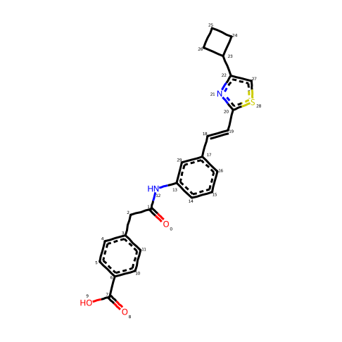 O=C(Cc1ccc(C(=O)O)cc1)Nc1cccc(/C=C/c2nc(C3CCC3)cs2)c1